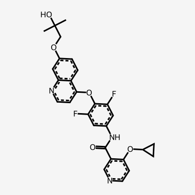 CC(C)(O)COc1ccc2c(Oc3c(F)cc(NC(=O)c4cnccc4OC4CC4)cc3F)ccnc2c1